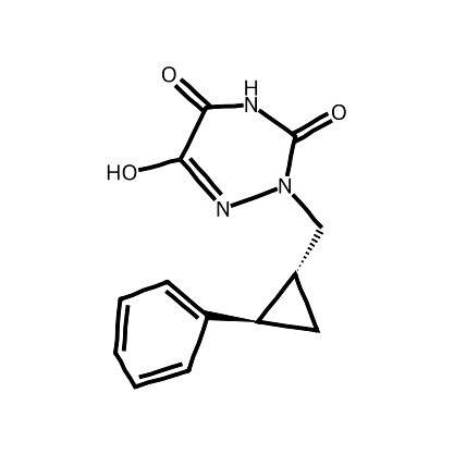 O=c1[nH]c(=O)n(C[C@@H]2C[C@H]2c2ccccc2)nc1O